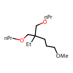 CCCOCC(CC)(CCCOC)COCCC